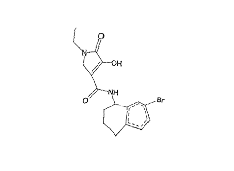 CCN1CC(C(=O)NC2CCCc3ccc(Br)cc32)=C(O)C1=O